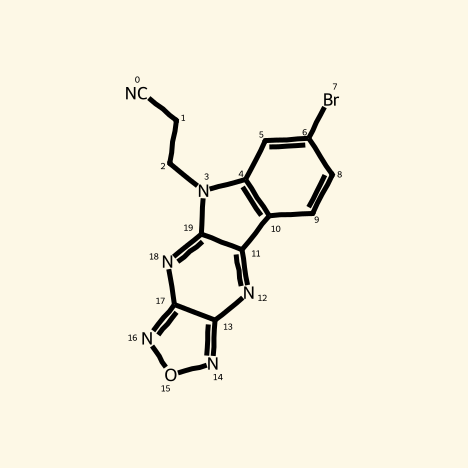 N#CCCn1c2cc(Br)ccc2c2nc3nonc3nc21